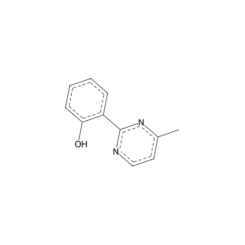 Cc1ccnc(-c2ccccc2O)n1